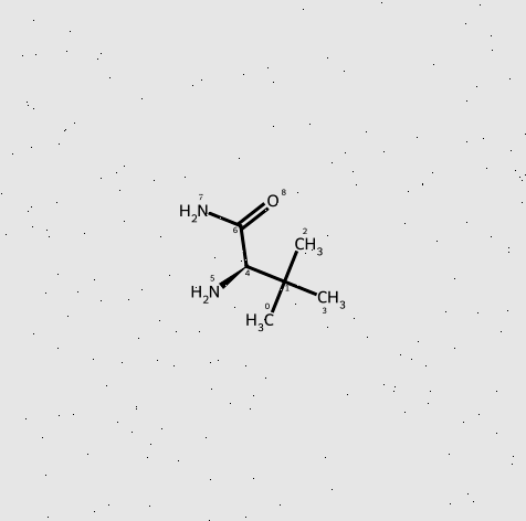 CC(C)(C)[C@@H](N)C(N)=O